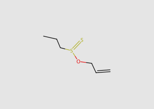 C=CCOS(=S)CCC